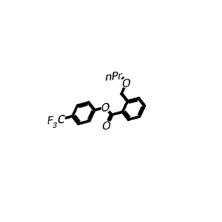 CCCOCc1ccccc1C(=O)Oc1ccc(C(F)(F)F)cc1